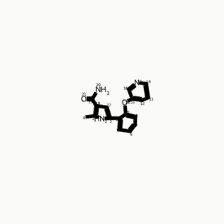 Cc1[nH]c(-c2ccccc2Oc2cccnc2)cc1C(N)=O